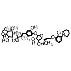 CC(=Cc1ccc(O[C@@H]2O[C@H](C(C)=CCOc3cccc(N4CCCCC4)c3Cl)[C@@H](O)[C@@H]2O)c(O)c1)C(=O)N[C@@H]1[C@H](O)[C@@H](O)[C@H]2OCO[C@H]2[C@@H]1O